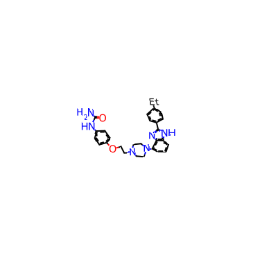 CCc1ccc(-c2nc3c(N4CCN(CCOc5ccc(NC(N)=O)cc5)CC4)cccc3[nH]2)cc1